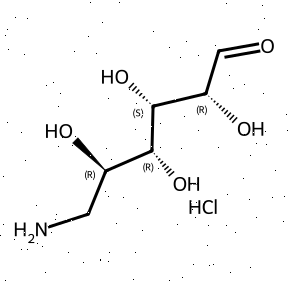 Cl.NC[C@@H](O)[C@@H](O)[C@H](O)[C@@H](O)C=O